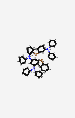 c1ccc(N(c2ccccc2)c2ccc3c(c2)sc2c(N(c4ccccc4)c4cc(N(c5ccccc5)c5ccccc5)c5c(c4)sc4ccccc45)cccc23)cc1